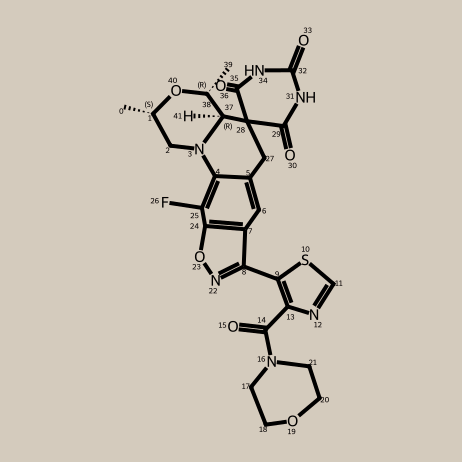 C[C@H]1CN2c3c(cc4c(-c5scnc5C(=O)N5CCOCC5)noc4c3F)CC3(C(=O)NC(=O)NC3=O)[C@@H]2[C@@H](C)O1